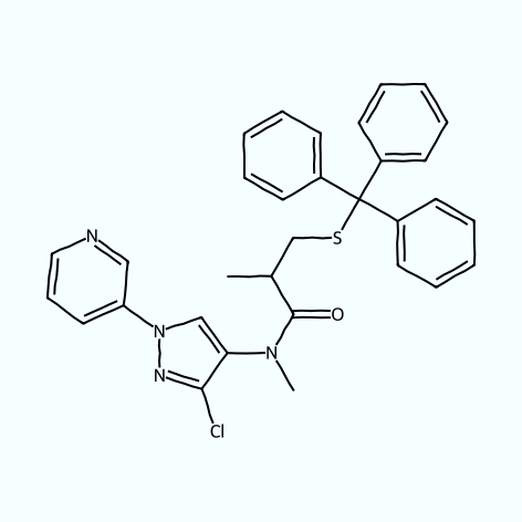 CC(CSC(c1ccccc1)(c1ccccc1)c1ccccc1)C(=O)N(C)c1cn(-c2cccnc2)nc1Cl